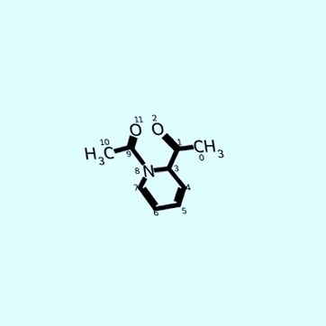 CC(=O)C1C=CC=CN1C(C)=O